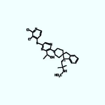 CC(O)c1nc(Sc2ccnc(Cl)c2Cl)cnc1N1CCC2(CC1)Cc1ccccc1[C@H]2CC(C)(C)NC(=O)O